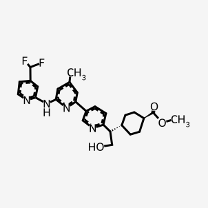 COC(=O)[C@H]1CC[C@H](C(CO)c2ccc(-c3cc(C)cc(Nc4cc(C(F)F)ccn4)n3)cn2)CC1